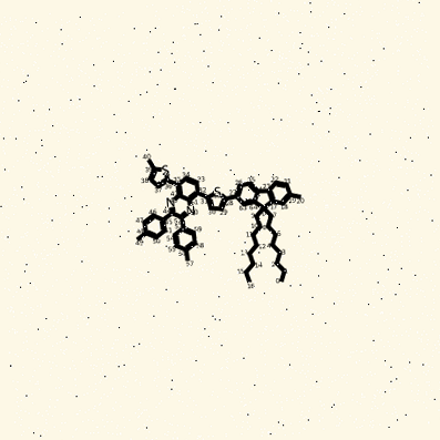 CCCCCCCCC1(CCCCCCCC)c2cc(C)ccc2-c2ccc(-c3ccc(-c4ccc(-c5ccc(C)s5)c5nc(-c6ccc(C)cc6)c(-c6ccc(C)cc6)nc45)s3)cc21